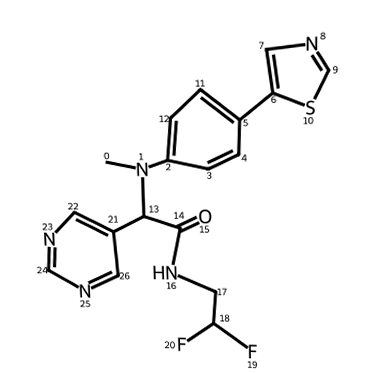 CN(c1ccc(-c2cncs2)cc1)C(C(=O)NCC(F)F)c1cncnc1